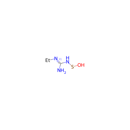 CC/N=C(\N)NSO